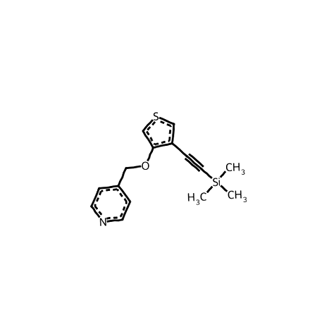 C[Si](C)(C)C#Cc1cscc1OCc1ccncc1